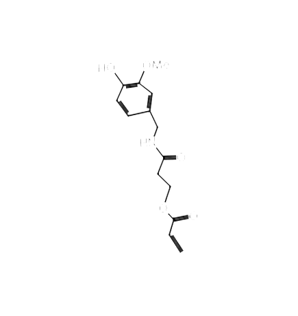 C=CC(=O)OCCC(=O)NCc1ccc(O)c(OC)c1